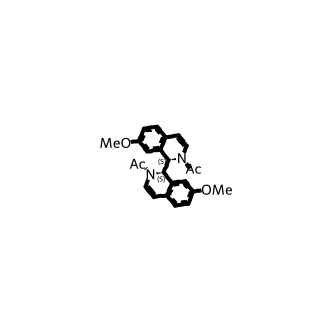 COc1ccc2c(c1)[C@@H]([C@@H]1c3cc(OC)ccc3C=CN1C(C)=O)N(C(C)=O)C=C2